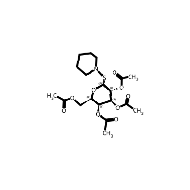 CC(=O)OC[C@H]1O[C@@H](SN2CCCCC2)[C@H](OC(C)=O)[C@@H](OC(C)=O)[C@H]1OC(C)=O